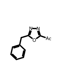 CC(=O)c1nnc(Cc2ccccc2)o1